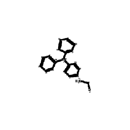 CC[O-].c1cc[c]([Sn+]([c]2ccccc2)[c]2ccccc2)cc1